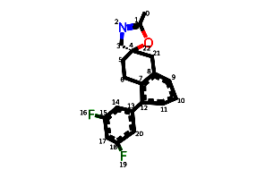 CC1=NC[C@]2(CCc3c(cccc3-c3cc(F)cc(F)c3)C2)O1